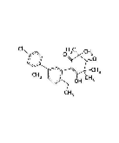 CCc1ccc(-c2ccc(Cl)cc2C)cc1C1=C(O)C(C)(C)C(=O)C(C)(C)C1=O